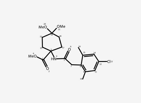 COC(=O)C1(NC(=O)Cc2c(C)cc(Cl)cc2C)CCC(OC)(OC)CC1